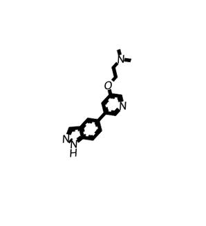 CN(C)CCOc1cncc(-c2ccc3[nH]ncc3c2)c1